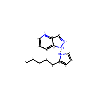 CCCCCc1ccc[nH]1.c1cnc2cn[nH]c2c1